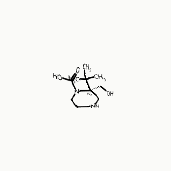 CC(C)(C)[C@@]1(CO)CNCCN1C(=O)O